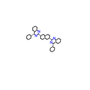 c1ccc(-c2nc(-c3ccc4cc(-c5nc(-c6ccccc6)c6ccccc6n5)ccc4c3)nc3ccccc23)cc1